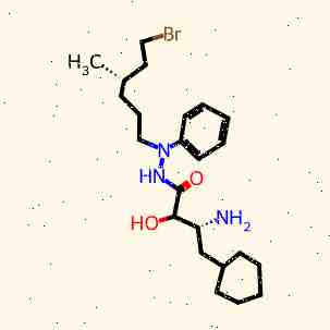 C[C@H](CCBr)CCCN(NC(=O)C(O)[C@H](N)CC1CCCCC1)c1ccccc1